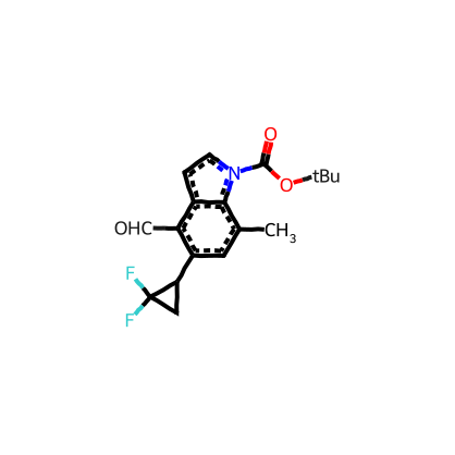 Cc1cc(C2CC2(F)F)c(C=O)c2ccn(C(=O)OC(C)(C)C)c12